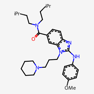 COc1ccc(Nc2nc3ccc(C(=O)N(CCC(C)C)CCC(C)C)cc3n2CCCN2CCCCC2)cc1